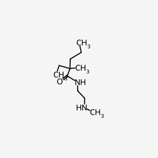 CCCC(C)(CC)C(=O)NCCNC